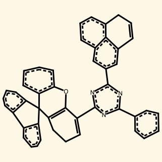 C1=Cc2cc(-c3nc(C4=CCCC5=C4Oc4ccccc4C54c5ccccc5-c5ccccc54)nc(-c4ccccc4)n3)cc3cccc(c23)C1